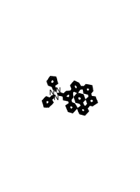 c1ccc(-c2cc(-c3cccc(-c4cccc(-c5cccc(-c6ccccc6-c6ccccc6)c5)c4)c3)cc(-c3nc(-c4ccccc4)nc(-c4ccccc4)n3)c2)cc1